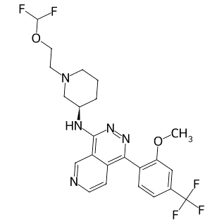 COc1cc(C(F)(F)F)ccc1-c1nnc(N[C@@H]2CCCN(CCOC(F)F)C2)c2cnccc12